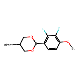 CCCCCC1COB(c2ccc(OCC)c(F)c2F)OC1